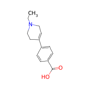 CCN1CC=C(c2ccc(C(=O)O)cc2)CC1